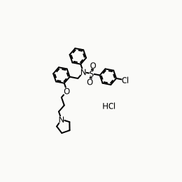 Cl.O=S(=O)(c1ccc(Cl)cc1)N(Cc1ccccc1OCCCN1CCCC1)c1ccccc1